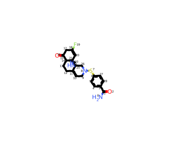 NC(=O)c1ccc(SN2CC=C3CCC4C(=O)CC(F)=CC45N=CNC35C2)cc1